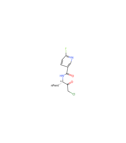 CCCCC[C@H](NC(=O)c1ccc(F)nc1)C(=O)CCl